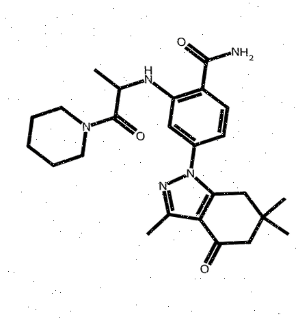 Cc1nn(-c2ccc(C(N)=O)c(NC(C)C(=O)N3CCCCC3)c2)c2c1C(=O)CC(C)(C)C2